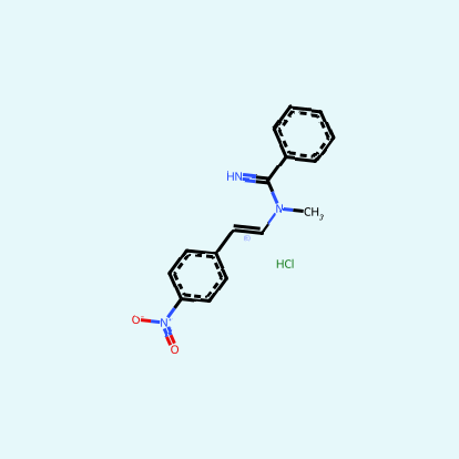 CN(/C=C/c1ccc([N+](=O)[O-])cc1)C(=N)c1ccccc1.Cl